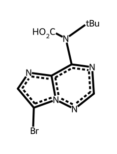 CC(C)(C)N(C(=O)O)c1ncnn2c(Br)cnc12